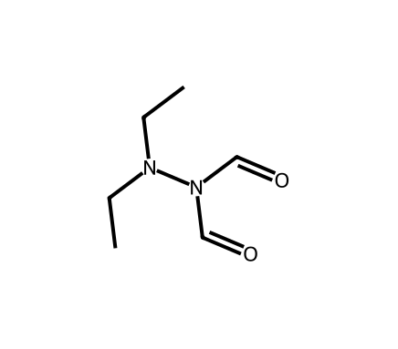 CCN(CC)N(C=O)C=O